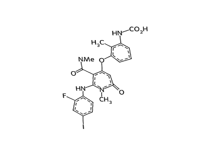 CNC(=O)c1c(Oc2cccc(NC(=O)O)c2C)cc(=O)n(C)c1Nc1ccc(I)cc1F